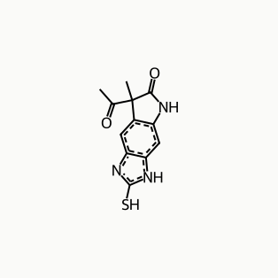 CC(=O)C1(C)C(=O)Nc2cc3[nH]c(S)nc3cc21